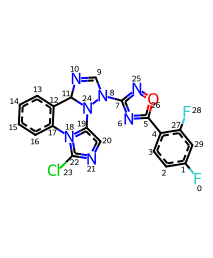 Fc1ccc(-c2nc(N3C=NC4c5ccccc5-n5c(cnc5Cl)N43)no2)c(F)c1